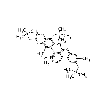 Cc1cc2cc3c4c([n+](C)ccc4c2cc1CC(C)(C)C)-c1c(c(CC(C)(C)C)c2ccc(CC(C)(C)C)cc2c1C)O3